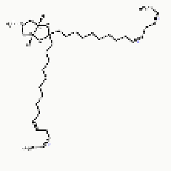 CCCCC/C=C\C/C=C\CCCCCCCCCC1(CCCCCCCCC/C=C\C/C=C\CCCCC)O[C@H]2C[C@@H](C)C[C@H]2O1